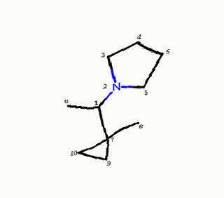 CC(N1CCCC1)C1(C)CC1